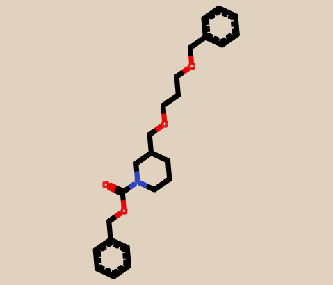 O=C(OCc1ccccc1)N1CCCC(COCCCOCc2ccccc2)C1